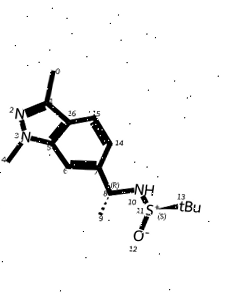 Cc1nn(C)c2cc([C@@H](C)N[S@+]([O-])C(C)(C)C)ccc12